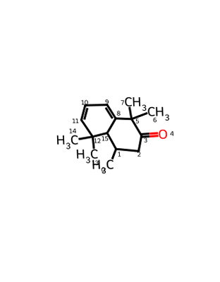 CC1CC(=O)C(C)(C)C2=CC=CC(C)(C)C21